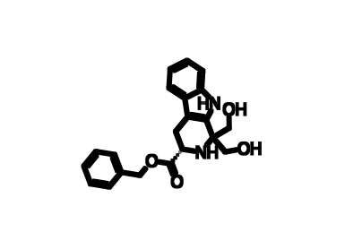 O=C(OCc1ccccc1)[C@@H]1Cc2c([nH]c3ccccc23)C(CO)(CO)N1